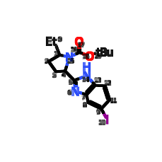 CCC1CCC(c2nc3cc(I)ccc3[nH]2)N1C(=O)OC(C)(C)C